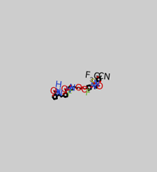 CC1(C)C(=O)N(c2ccc(C#N)c(C(F)(F)F)c2)C(=S)N1c1ccc(OCCOCCN2CCN(C(=O)c3cc(Cc4n[nH]c(=O)c5ccccc45)ccc3F)CC2)c(F)c1